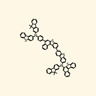 CC1(C)c2ccccc2-c2ccc(N(c3ccc4sc5cc(-c6ccc7sc8cc(-c9ccc(N(c%10ccc%11c(c%10)C(C)(C)C%10C=CC=CC%11%10)c%10ccc%11sc%12ccccc%12c%11c%10)cc9)c9ccccc9c8c7c6)ccc5c4c3)c3cc4ccccc4c4c3sc3ccccc34)cc21